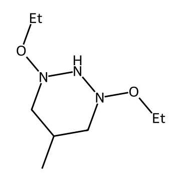 CCON1CC(C)CN(OCC)N1